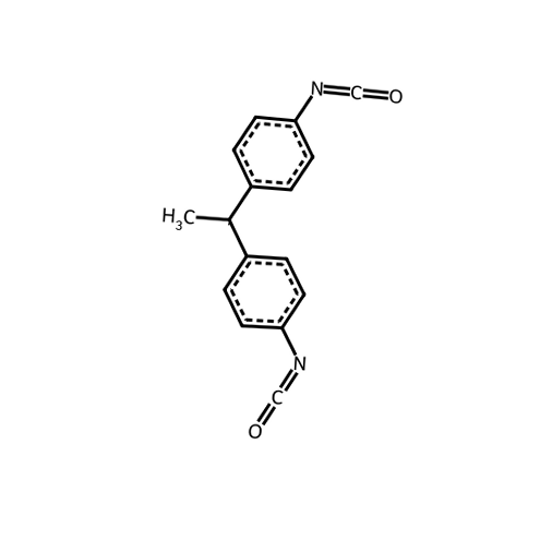 C[C](c1ccc(N=C=O)cc1)c1ccc(N=C=O)cc1